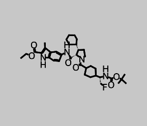 CCOC(=O)c1[nH]c2ccc(NC(=O)[C@@H]3[C@H](C4CCCCC4)CCN3C(=O)C3CCC([C@@H](CF)NC(=O)OC(C)(C)C)CC3)cc2c1C